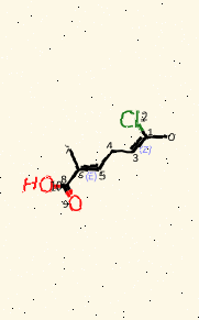 C/C(Cl)=C/C/C=C(\C)C(=O)O